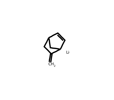 C=C1CC2C=CC1C2.[Li]